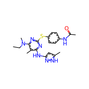 CCN(C)c1nc(Sc2ccc(NC(C)=O)cc2)nc(Nc2cc(C)[nH]n2)c1C